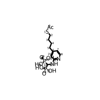 CC(=O)SCCCCc1ccnc(NC(P(=O)(O)O)P(=O)(O)O)c1